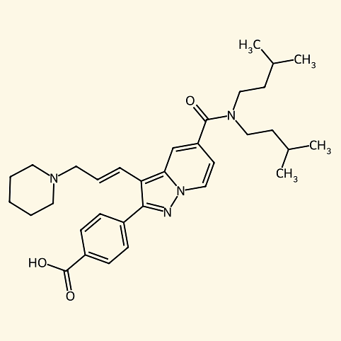 CC(C)CCN(CCC(C)C)C(=O)c1ccn2nc(-c3ccc(C(=O)O)cc3)c(C=CCN3CCCCC3)c2c1